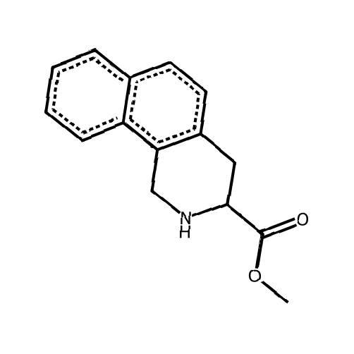 COC(=O)C1Cc2ccc3ccccc3c2CN1